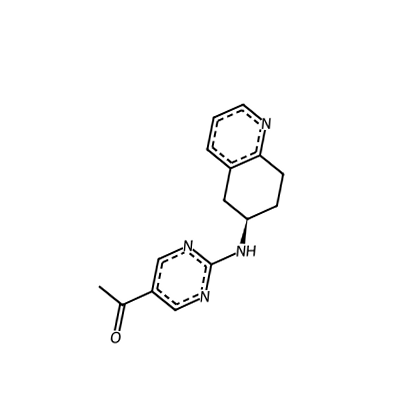 CC(=O)c1cnc(N[C@@H]2CCc3ncccc3C2)nc1